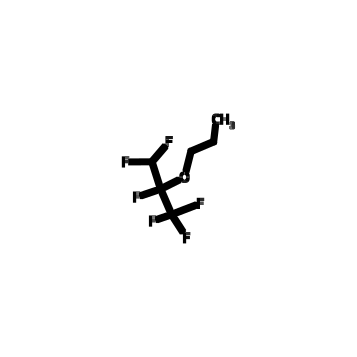 CCCOC(F)(C(F)F)C(F)(F)F